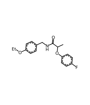 CCOc1ccc(CNC(=O)C(C)Oc2ccc(F)cc2)cc1